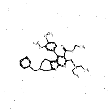 CCOC(=O)c1c(CN(CC)CC)nc2sc3c(c2c1-c1ccc(OC)c(OC)c1)CCN(Cc1ccccc1)C3